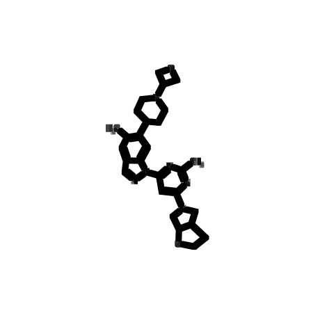 Cc1nc(N2CC3CCOC3C2)cc(-n2ncc3cc(C)c(C4CCN(C5COC5)CC4)cc32)n1